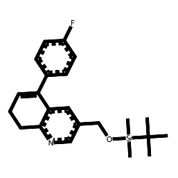 CC(C)(C)[Si](C)(C)OCc1cnc2c(c1)C(c1ccc(F)cc1)=CCC2